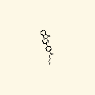 FCCCNc1ccc(C2=NC3Nc4ccccc4N3C=C2)cc1